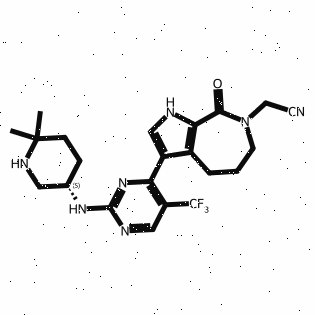 CC1(C)CC[C@H](Nc2ncc(C(F)(F)F)c(-c3c[nH]c4c3CCCN(CC#N)C4=O)n2)CN1